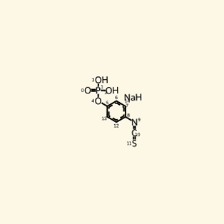 O=P(O)(O)Oc1ccc(N=C=S)cc1.[NaH]